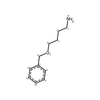 NCCCCOCc1ccccc1